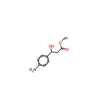 CC(C)OC(=O)CC(O)c1ccc([N+](=O)[O-])cc1